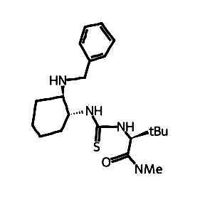 CNC(=O)[C@@H](NC(=S)N[C@@H]1CCCC[C@H]1NCc1ccccc1)C(C)(C)C